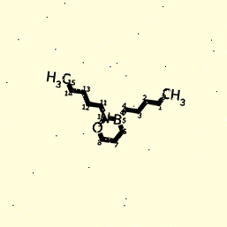 CCCCCB1CCCON1CCCCC